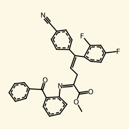 COC(=O)C(CC=C(c1ccc(C#N)cc1)c1ccc(F)cc1F)=Nc1ccccc1C(=O)c1ccccc1